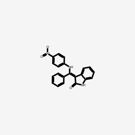 O=C1Nc2ccccc2C1=C(Nc1ccc([N+](=O)[O-])cc1)c1ccccc1